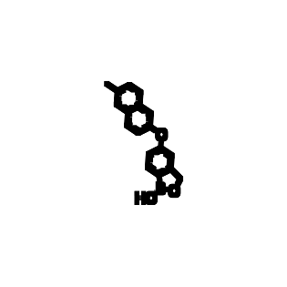 Cc1ccc2cc(Oc3ccc4c(c3)COB4O)ccc2c1